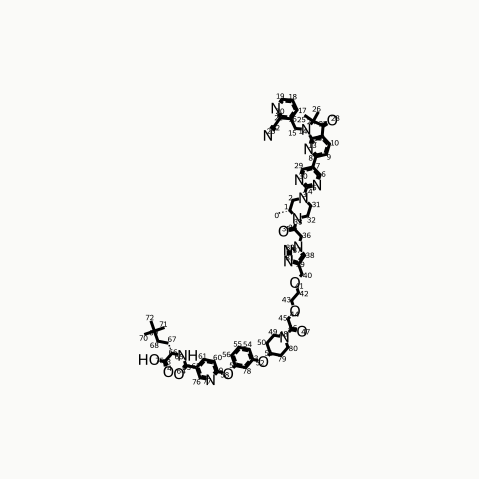 C[C@@H]1CN(c2ncc(-c3ccc4c(n3)N(Cc3cccnc3C#N)C(C)(C)C4=O)cn2)CCN1C(=O)Cn1cc(COCCOCC(=O)N2CCC(Oc3cccc(Oc4ccc(C(=O)N[C@@H](CCC(C)(C)C)C(=O)O)cn4)c3)CC2)nn1